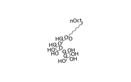 CCCCCCCC/C=C\CCCCCCCC(=O)OC[C@H](O)CO[C@@H]1O[C@H](CO[C@@H]2O[C@H](CO)[C@@H](O)[C@H](O)[C@H]2O)[C@@H](O)[C@H](O)[C@H]1O